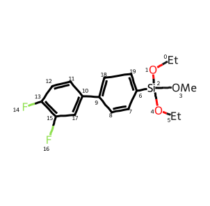 CCO[Si](OC)(OCC)c1ccc(-c2ccc(F)c(F)c2)cc1